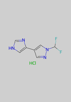 Cl.FC(F)n1cc(-c2c[nH]cn2)cn1